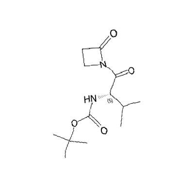 CC(C)[C@H](NC(=O)OC(C)(C)C)C(=O)N1CCC1=O